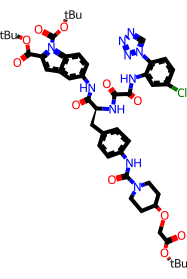 CC(C)(C)OC(=O)COC1CCN(C(=O)Nc2ccc(C[C@H](NC(=O)C(=O)Nc3cc(Cl)ccc3-n3cnnn3)C(=O)Nc3ccc4c(c3)cc(C(=O)OC(C)(C)C)n4C(=O)OC(C)(C)C)cc2)CC1